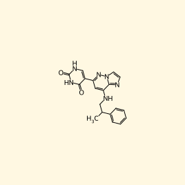 CC(CNc1cc(-c2c[nH]c(=O)[nH]c2=O)nn2ccnc12)c1ccccc1